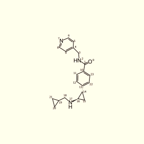 O=C(NCc1ccncc1)c1ccc([C@@H]2C[C@H]2NCC2CC2)cc1